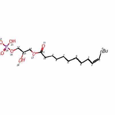 CCCC/C=C\CCCCCCCCC(=O)OCC(O)COP(=O)(O)O